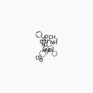 C/C(=N\S(=O)(=O)c1ccccc1)N[C@@H](CC1(C)CCCC1)C(=O)NC1(C#N)CCS(=O)(=O)CC1